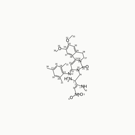 CNC(=C[N+](=O)[O-])C(N)Cn1c(=Nc2c(C)cc(C)cc2C)cc2n(c1=O)CCc1cc(OC)c(OC)cc1-2